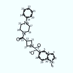 Cn1ccc2cc(S(=O)(=O)N3CC(C(=O)N4CCN(c5ccccc5)CC4)C3)ccc21